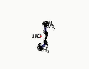 COc1cc(/C=C/C=C/C(=O)N2CCCN(CCCCCCCCN3CCCN(C(=O)/C=C/C=C/c4cc(OC)c(OC)c(OC)c4)CC3)CC2)cc(OC)c1OC.Cl.Cl